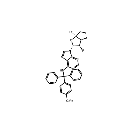 CC[C@@]1(CF)O[C@@H](n2cnc3c(NC(c4ccccc4)(c4ccccc4)c4ccc(OC)cc4)ncnc32)[C@H](F)[C@@H]1C